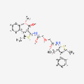 Cc1sc(NC(=O)COCC(=O)Nc2sc(C)c(-c3ccccc3)c2C(=O)OC(C)(C)C)c(C(=O)O)c1-c1ccccc1